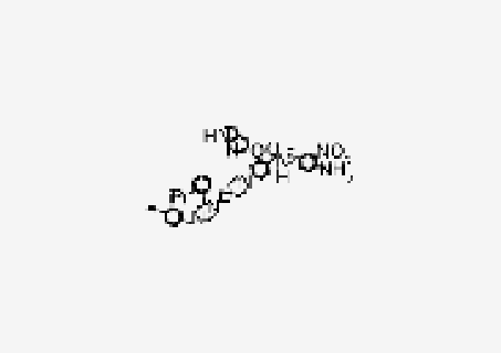 C#Cc1ccc(CN2CCN(C3CC4(CCN(c5ccc(C(=O)NSc6ccc(N)c([N+](=O)[O-])c6)c(Oc6cnc7[nH]ccc7c6)c5)CC4)C3)C(c3ccccc3C(C)C)C2)cc1